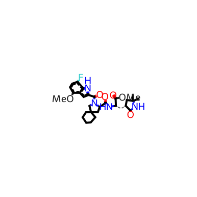 COC(=O)[C@H](C[C@@H]1CC(C)(C)NC1=O)NC(=O)C1CC2(CCCCC2)CN1C(=O)c1cc2c(OC)ccc(F)c2[nH]1